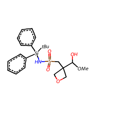 COC(O)C1(CS(=O)(=O)N[Si](c2ccccc2)(c2ccccc2)C(C)(C)C)COC1